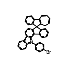 Brc1ccc(-n2c3ccccc3c3ccc4c(c32)-c2ccccc2C42C3=C(C=CC=CC3)c3ccccc32)cc1